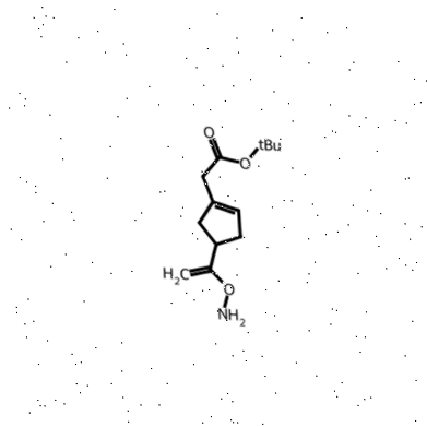 C=C(ON)C1CC=C(CC(=O)OC(C)(C)C)C1